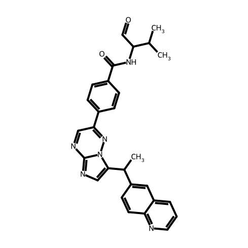 CC(c1ccc2ncccc2c1)c1cnc2ncc(-c3ccc(C(=O)NC(C=O)C(C)C)cc3)nn12